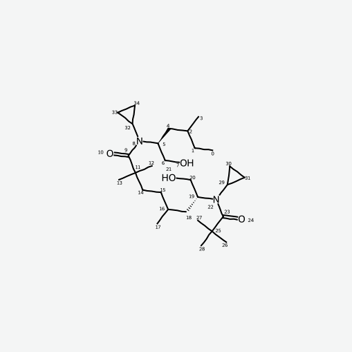 CCC(C)C[C@@H](CO)N(C(=O)C(C)(C)CCC(C)C[C@H](CO)N(C(=O)C(C)(C)C)C1CC1)C1CC1